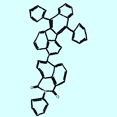 O=C1c2cccc3c(-c4ccc5c6c(cccc46)-c4c-5c(-c5ccccc5)c5ccccc5c4-c4ccccc4)ccc(c23)C(=O)N1c1ccccc1